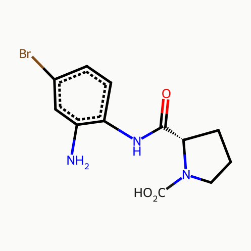 Nc1cc(Br)ccc1NC(=O)[C@@H]1CCCN1C(=O)O